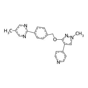 Cc1cnc(-c2ccc(COc3nn(C)cc3-c3ccncc3)cc2)nc1